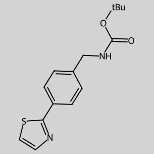 CC(C)(C)OC(=O)NCc1ccc(-c2nccs2)cc1